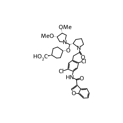 CO[C@H]1CN(C(O[C@H]2CC[C@H](C(=O)O)CC2)[C@@H]2CCCN2C(=O)Cc2cc(Cl)c(NC(=O)c3coc4ccccc34)cc2Cl)C[C@H]1OC